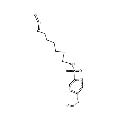 CCCCCOc1ccc(S(=O)(=O)NCCCCCCN=C=O)cc1